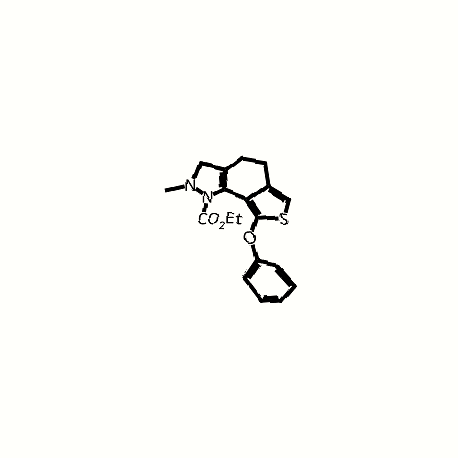 CCOC(=O)N1C2=C(CCc3csc(Oc4ccccc4)c32)CN1C